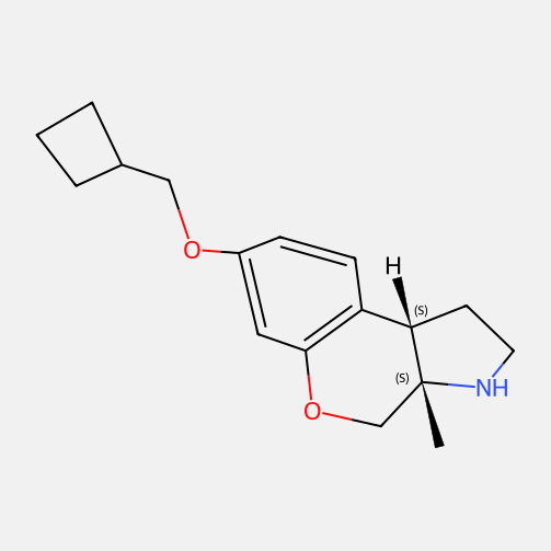 C[C@@]12COc3cc(OCC4CCC4)ccc3[C@@H]1CCN2